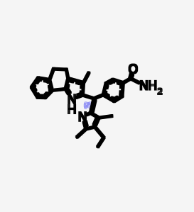 CCC1=C(C)/C(=C(\c2ccc(C(N)=O)cc2)c2[nH]c3c(c2C)CCc2ccccc2-3)N=C1C